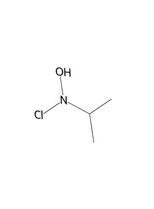 CC(C)N(O)Cl